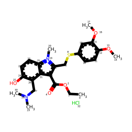 CCOC(=O)c1c(CSc2ccc(OC)c(OC)c2)n(C)c2ccc(O)c(CN(C)C)c12.Cl